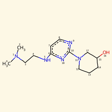 CN(C)CCNc1ccnc(N2CCCC(O)C2)n1